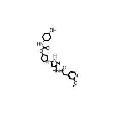 COc1cc(CC(=O)Nc2cc([C@@H]3CCC(OC(=O)N[C@H]4CC[C@@H](O)CC4)C3)[nH]n2)ccn1